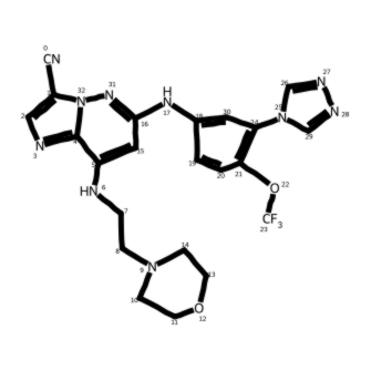 N#Cc1cnc2c(NCCN3CCOCC3)cc(Nc3ccc(OC(F)(F)F)c(-n4cnnc4)c3)nn12